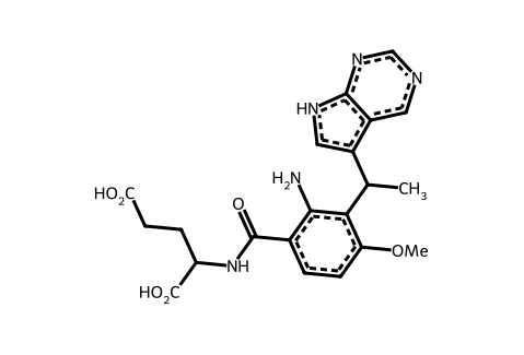 COc1ccc(C(=O)NC(CCC(=O)O)C(=O)O)c(N)c1C(C)c1c[nH]c2ncncc12